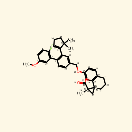 COc1ccc(F)c(-c2ccc(COc3ccc4c(c3)[C@]3(CCC4)C[C@]3(C)C(=O)O)cc2C2=CCCC2(C)C)c1